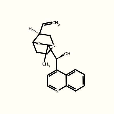 C=C[C@H]1CN2CCC1CC2(C)[C@@H](O)c1ccnc2ccccc12